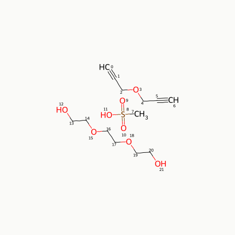 C#CCOCC#C.CS(=O)(=O)O.OCCOCCOCCO